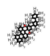 Bc1c(B)c(B)c(-c2c(B)c(B)c(B)c(-c3c(B)c(B)c(-c4c5c(B)c(B)c(B)c(B)c5c(-c5c(B)c(B)c(B)c6c(B)c(B)c(B)c(B)c56)c5c(B)c(B)c(B)c(B)c45)c(B)c3B)c2B)c(B)c1B